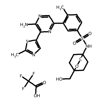 Cc1ncc(-c2nc(-c3cc(S(=O)(=O)NC45CCC(CO)(CC4)OC5)ccc3C)cnc2N)s1.O=C(O)C(F)(F)F